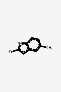 C[CH]c1cc2cc(C)ccc2[nH]1